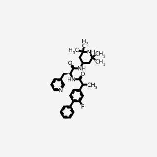 CC(C(=O)N[C@@H](Cc1cccnc1)C(=O)NC1CC(C)(C)NC(C)(C)C1)c1ccc(-c2ccccc2)c(F)c1